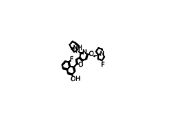 Oc1cc(-c2cc3c(N4CC5CCC(C4)N5)nc(OC[C@@]45CCCN4C[C@H](F)C5)cc3o2)c2c(F)cccc2c1